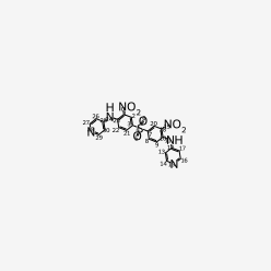 O=[N+]([O-])c1cc(S(=O)(=O)c2ccc(Nc3ccncc3)c([N+](=O)[O-])c2)ccc1Nc1ccncc1